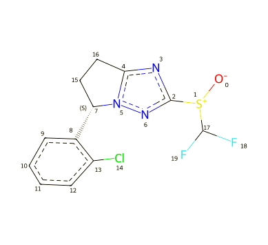 [O-][S+](c1nc2n(n1)[C@H](c1ccccc1Cl)CC2)C(F)F